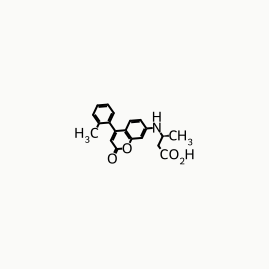 Cc1ccccc1-c1cc(=O)oc2cc(N[C@@H](C)CC(=O)O)ccc12